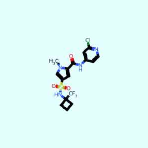 Cn1cc(S(=O)(=O)NC2(C(F)(F)F)CCC2)cc1C(=O)Nc1ccnc(Cl)c1